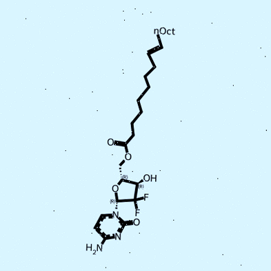 CCCCCCCCC=CCCCCCCCC(=O)OC[C@H]1O[C@@H](n2ccc(N)nc2=O)C(F)(F)[C@@H]1O